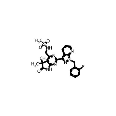 CC1(C)C(=O)Nc2nc(-c3nn(Cc4ccccc4F)c4ncccc34)nc(CNS(C)(=O)=O)c21